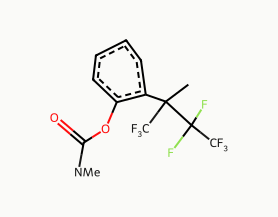 CNC(=O)Oc1ccccc1C(C)(C(F)(F)F)C(F)(F)C(F)(F)F